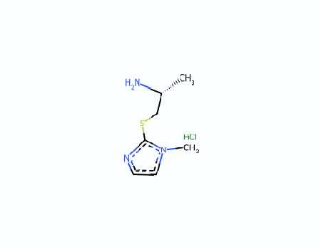 C[C@@H](N)CSc1nccn1C.Cl